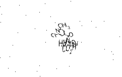 Cc1cc(C(=O)N(NC(=O)O)C(C)(C)C)cc(Cl)n1